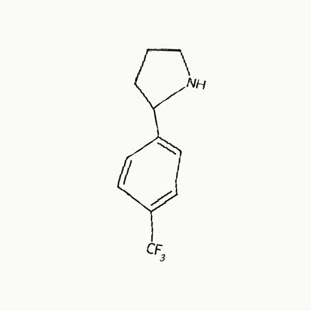 FC(F)(F)c1ccc(C2CCCN2)cc1